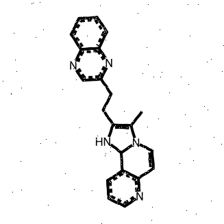 CC1=C(CCc2cnc3ccccc3n2)NC2c3cccnc3C=CN12